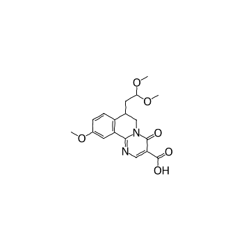 COc1ccc2c(c1)-c1ncc(C(=O)O)c(=O)n1CC2CC(OC)OC